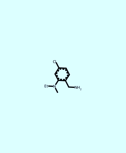 CCN(C)c1cc(Cl)ccc1CN